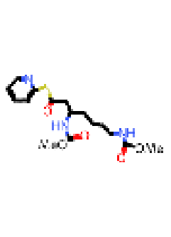 COC(=O)NCCCCC(CC(=O)Sc1ccccn1)NC(=O)OC